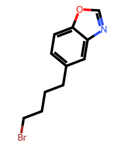 BrCCCCc1ccc2ocnc2c1